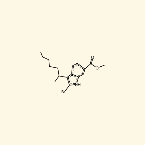 CCCCCC(C)c1c(Br)[nH]c2cc(C(=O)OC)ccc12